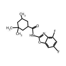 CC1CC(C(=O)Nc2nc3c(F)cc(F)cc3o2)CC(C)(C)C1